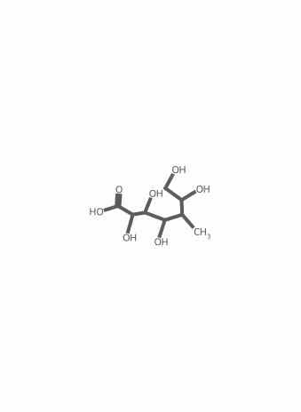 CC(C(O)CO)C(O)C(O)C(O)C(=O)O